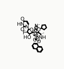 C[C@H](NP(=O)(OC[C@@]1(N=[N+]=[N-])O[C@@H](n2ccc(=O)[nH]c2=O)[C@H](F)[C@@H]1O)Oc1cccc2ccccc12)C(=O)OC1CCCC1